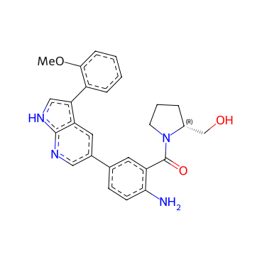 COc1ccccc1-c1c[nH]c2ncc(-c3ccc(N)c(C(=O)N4CCC[C@@H]4CO)c3)cc12